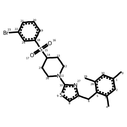 Cc1cc(C)c(Cc2csc(N3CCC(S(=O)(=O)c4cccc(Br)c4)CC3)n2)c(C)c1